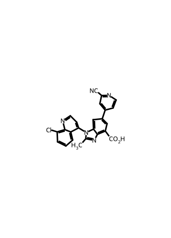 Cc1nc2c(C(=O)O)cc(-c3ccnc(C#N)c3)cc2n1-c1ccnc2c(Cl)cccc12